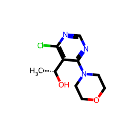 C[C@@H](O)c1c(Cl)ncnc1N1CCOCC1